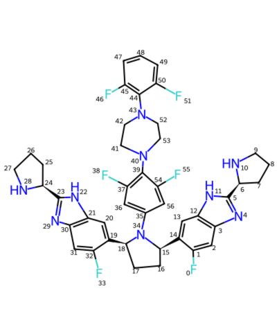 Fc1cc2nc([C@@H]3CCCN3)[nH]c2cc1[C@H]1CC[C@@H](c2cc3[nH]c([C@@H]4CCCN4)nc3cc2F)N1c1cc(F)c(N2CCN(c3c(F)cccc3F)CC2)c(F)c1